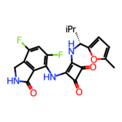 Cc1ccc([C@H](Nc2c(Nc3c(F)cc(F)c4c3C(=O)NC4)c(=O)c2=O)C(C)C)o1